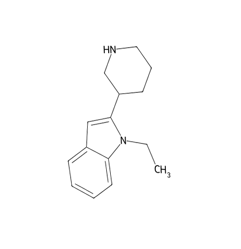 CCn1c(C2CCCNC2)cc2ccccc21